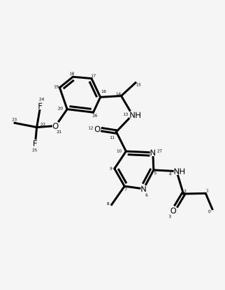 CCC(=O)Nc1nc(C)cc(C(=O)NC(C)c2cccc(OC(C)(F)F)c2)n1